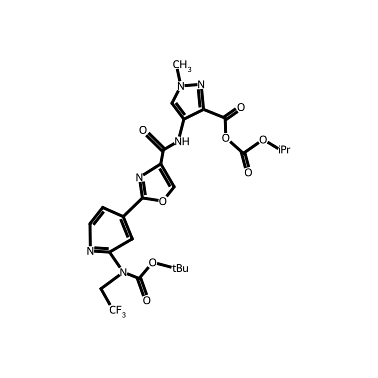 CC(C)OC(=O)OC(=O)c1nn(C)cc1NC(=O)c1coc(-c2ccnc(N(CC(F)(F)F)C(=O)OC(C)(C)C)c2)n1